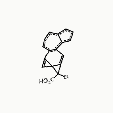 CCC1(C(=O)O)C2=Cc3c(cccc4cccc3-4)C3=CC321